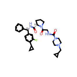 O=C(N[C@@H](c1ccccc1)c1ccc(C2CC2)c(F)c1)[C@@H]1CCCN1C(=O)CNC(=O)N1CCN(CC2CC2)CC1